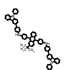 CC(C)(C)c1ccc2c(-c3ccc(Nc4ccc(-c5ccc6c(c5)c5ccccc5n6-c5ccccc5)cc4)cc3)c3ccccc3c(-c3ccc(Nc4ccc(-c5ccc6c(c5)c5ccccc5n6-c5ccccc5)cc4)cc3)c2c1